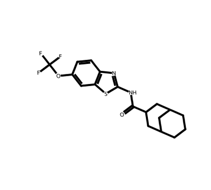 O=C(Nc1nc2ccc(OC(F)(F)F)cc2s1)C1CC2CCCC(C2)C1